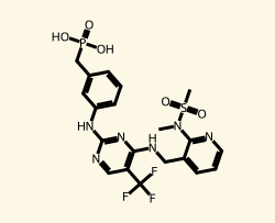 CN(c1ncccc1CNc1nc(Nc2cccc(CP(=O)(O)O)c2)ncc1C(F)(F)F)S(C)(=O)=O